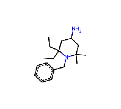 CCC1(CC)CC(N)CC(C)(C)N1Cc1ccccc1